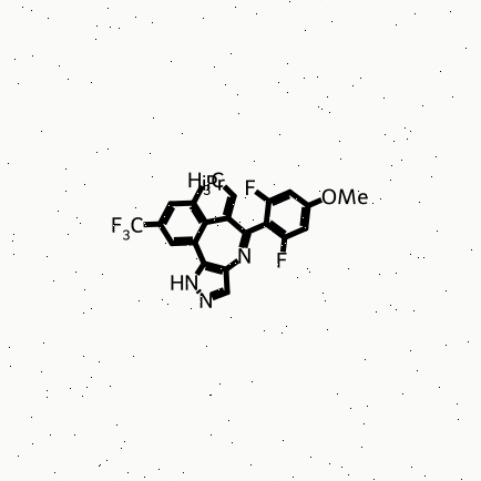 C/C=C1/C(c2c(F)cc(OC)cc2F)=Nc2cn[nH]c2-c2cc(C(F)(F)F)cc(C(C)C)c21